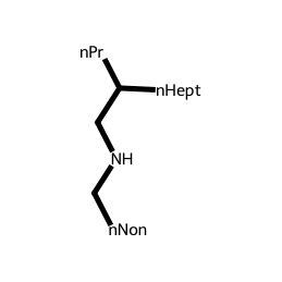 CCCCCCCCCCNCC(CCC)CCCCCCC